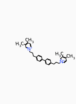 Cc1cc[n+](CCCc2ccc(-c3ccc(CCC[n+]4ccc(C)c(C)c4)cc3)cc2)cc1C